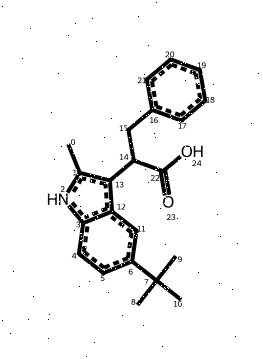 Cc1[nH]c2ccc(C(C)(C)C)cc2c1C(Cc1ccccc1)C(=O)O